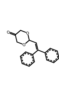 O=C1COC(C=C(c2ccccc2)c2ccccc2)OC1